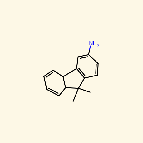 CC1(C)c2ccc(N)cc2C2C=CC=CC21